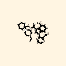 CCN1CCN(C2(CNC(=O)c3cn(-c4nccnc4C#N)c4cccc(Cl)c34)CCCCC2)CC1